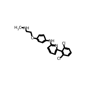 CNCCOc1ccc(Nc2cccc(-c3c(Cl)cccc3Cl)n2)cc1